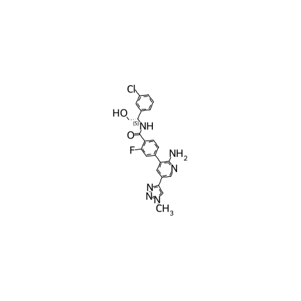 Cn1cc(-c2cnc(N)c(-c3ccc(C(=O)N[C@H](CO)c4cccc(Cl)c4)c(F)c3)c2)nn1